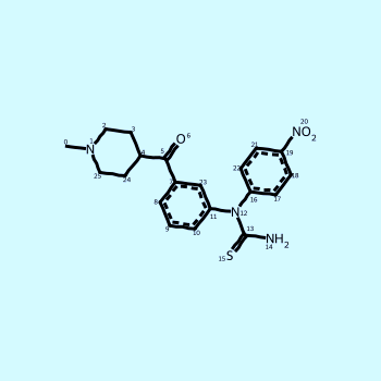 CN1CCC(C(=O)c2cccc(N(C(N)=S)c3ccc([N+](=O)[O-])cc3)c2)CC1